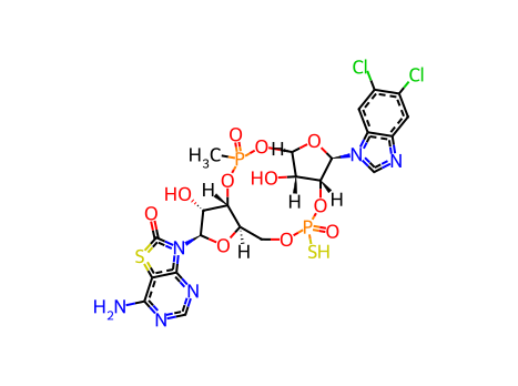 CP1(=O)O[C@H]2O[C@@H](n3cnc4cc(Cl)c(Cl)cc43)[C@H](OP(=O)(S)OC[C@H]3O[C@@H](n4c(=O)sc5c(N)ncnc54)[C@H](O)[C@@H]3O1)[C@@H]2O